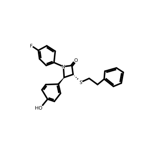 O=C1[C@H](SCCc2ccccc2)[C@@H](c2ccc(O)cc2)N1c1ccc(F)cc1